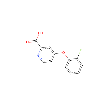 O=C(O)c1cc(Oc2ccccc2F)ccn1